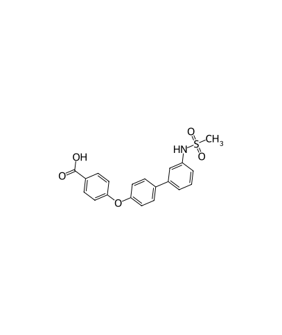 CS(=O)(=O)Nc1cccc(-c2ccc(Oc3ccc(C(=O)O)cc3)cc2)c1